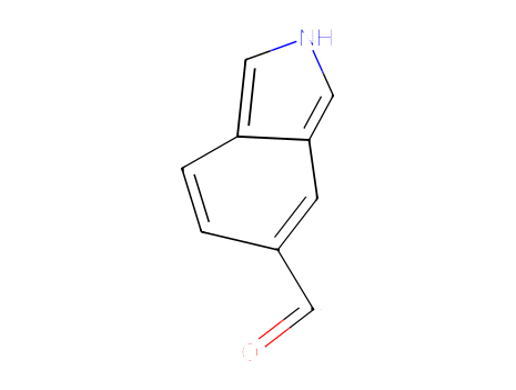 O=[C]c1ccc2c[nH]cc2c1